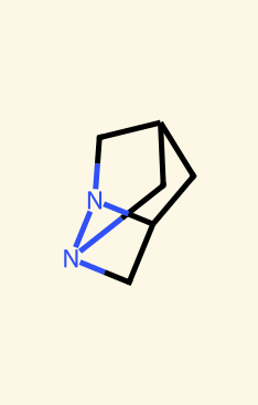 C1C2CN3CC1N3C2